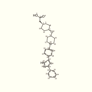 O=C(O)C[C@H]1CC[C@@H](OC2CCN(c3ccc(-c4nc(-c5ccccc5)n[nH]4)cn3)CC2)CC1